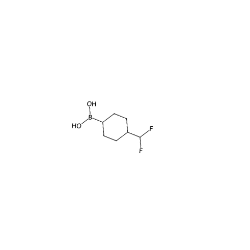 OB(O)C1CCC(C(F)F)CC1